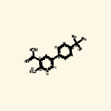 O=C(O)c1cc(-c2ccc(C(F)(F)F)cc2)cnc1O